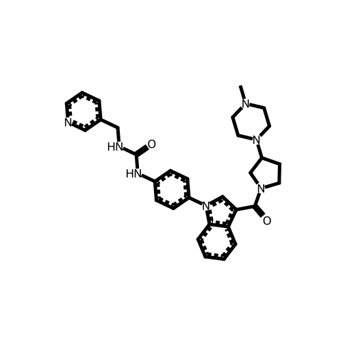 CN1CCN(C2CCN(C(=O)c3cn(-c4ccc(NC(=O)NCc5cccnc5)cc4)c4ccccc34)C2)CC1